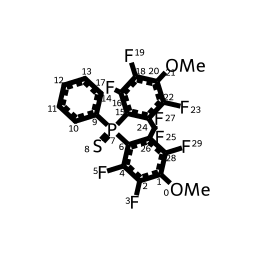 COc1c(F)c(F)c(P(=S)(c2ccccc2)c2c(F)c(F)c(OC)c(F)c2F)c(F)c1F